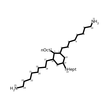 CCCCCCCCC1C(CCCCCCCCN)CC(CCCCCCC)CC1CCCCCCCCN